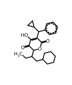 CCC(CC1CCCCC1)C1OC(=O)C(C(c2ccccc2)C2CC2)=C(O)C1=O